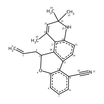 C=CCC1Oc2cccc(C#N)c2-c2ccc3c(c21)C(C)=CC(C)(C)N3